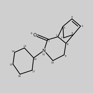 O=C1C2C3C=CC(C3)C2CCN1C1CCCCC1